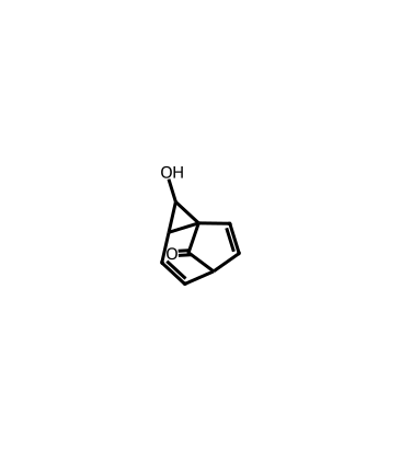 O=C1C2C=CC3C(O)C13C=C2